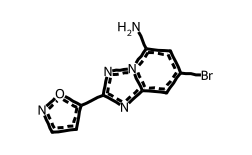 Nc1cc(Br)cc2nc(-c3ccno3)nn12